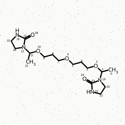 CC(OCCCOCCCOC(C)N1CCNC1=O)N1CCNC1=O